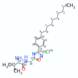 CCCCCCCCCCc1ccc(-c2noc(CNC(=O)[C@@H](N)C(C)C)n2)cc1.Cl